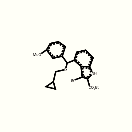 CCOC(=O)c1[nH]c2cccc(C(OCC3CC3)c3cccc(OC)c3)c2c1Br